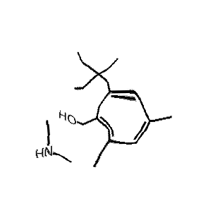 CNC.Cc1cc(C)c(O)c(C(C)(C)C)c1